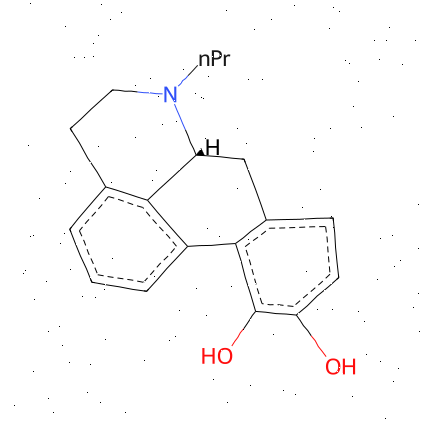 [11CH3]CCN1CCc2cccc3c2[C@H]1Cc1ccc(O)c(O)c1-3